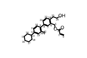 C=CC(=O)OCc1cc(-c2ccc(C3CCCCC3)cc2F)ccc1CCO